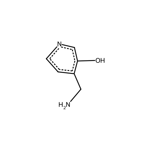 NCc1ccncc1O